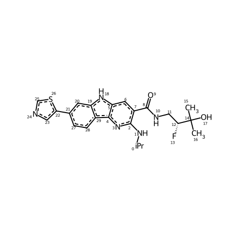 CC(C)Nc1nc2c(cc1C(=O)NC[C@@H](F)C(C)(C)O)[nH]c1cc(-c3cncs3)ccc12